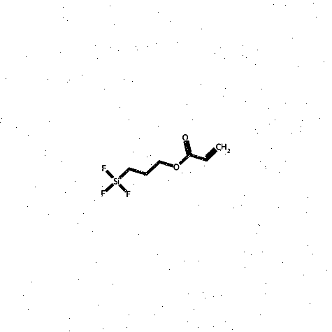 C=CC(=O)OCCC[Si](F)(F)F